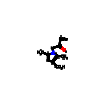 COC(=O)Cn1c(C)cc(C(=O)O)c1C